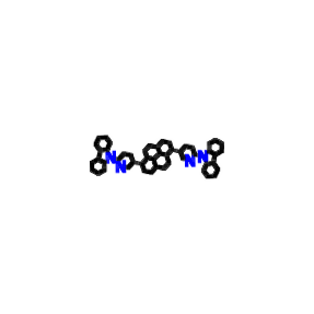 c1ccc2c(c1)c1ccccc1n2-c1ccc(-c2ccc3ccc4c(-c5ccc(-n6c7ccccc7c7ccccc76)nc5)ccc5ccc2c3c54)cn1